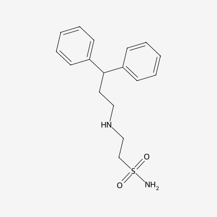 NS(=O)(=O)CCNCCC(c1ccccc1)c1ccccc1